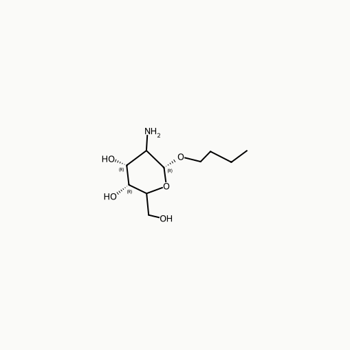 CCCCO[C@@H]1OC(CO)[C@H](O)[C@H](O)C1N